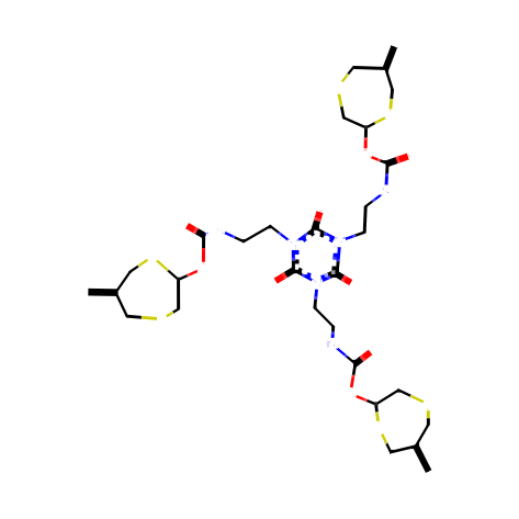 C=C1CSCC(OC(=O)NCCn2c(=O)n(CCNC(=O)OC3CSCC(=C)CS3)c(=O)n(CCNC(=O)OC3CSCC(=C)CS3)c2=O)SC1